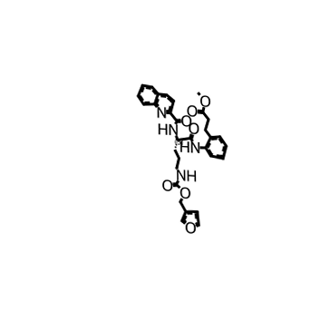 COC(=O)CCc1ccccc1NC(=O)[C@H](CCCNC(=O)OCc1ccoc1)NC(=O)c1ccc2ccccc2n1